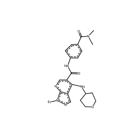 CCn1ncc2c(NC3CCOCC3)c(C(=O)Nc3ccc(C(=O)N(C)C)cc3)cnc21